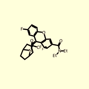 CCN(CC)C(=O)c1ccc2c(c1)Oc1ccc(F)cc1C2=C1CC2CCC(C1)N2C(=O)C(F)(F)F